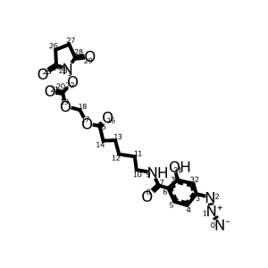 [N-]=[N+]=Nc1ccc(C(=O)NCCCCCC(=O)OCOC(=O)ON2C(=O)CCC2=O)c(O)c1